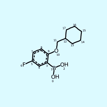 OB(O)c1cc(F)ccc1OCC1CCCCC1